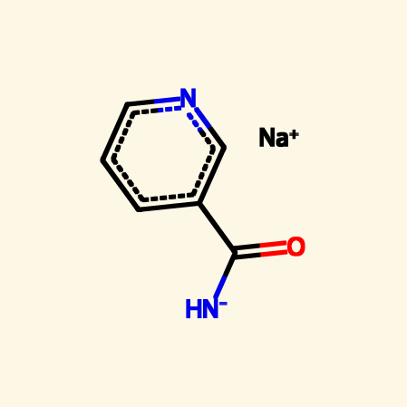 [NH-]C(=O)c1cccnc1.[Na+]